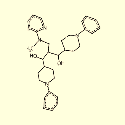 CN(CC(C(O)C1CCN(c2ccccc2)CC1)C(O)C1CCN(c2ccccc2)CC1)c1ncccn1